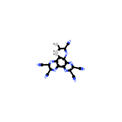 C=C(C)/C(C#N)=N\c1c(C)c2nc(C#N)c(C#N)nc2c2nc(C#N)c(C#N)nc12